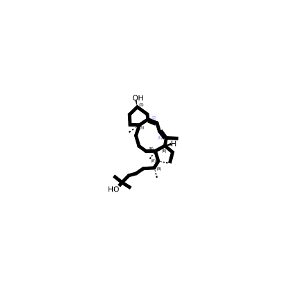 C/C1=C\C=C2\C[C@@H](O)CC[C@]2(C)CCC[C@]2(C)[C@@H]([C@H](C)CCCC(C)(C)O)CC[C@@H]12